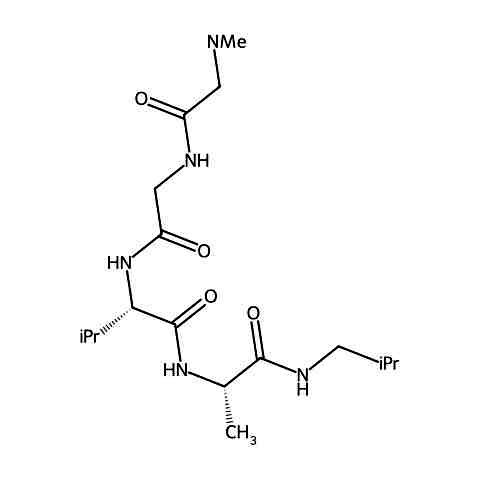 CNCC(=O)NCC(=O)N[C@H](C(=O)N[C@@H](C)C(=O)NCC(C)C)C(C)C